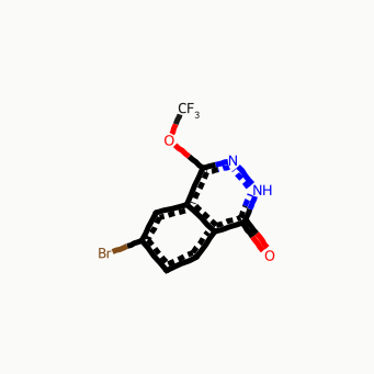 O=c1[nH]nc(OC(F)(F)F)c2cc(Br)ccc12